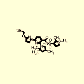 Cc1c(S(=O)(=O)NC(=O)c2ccc(-n3ccc(OCC(C)(C)C)n3)nc2N2C[C@@H](C)CC2(C)C)ccn1C